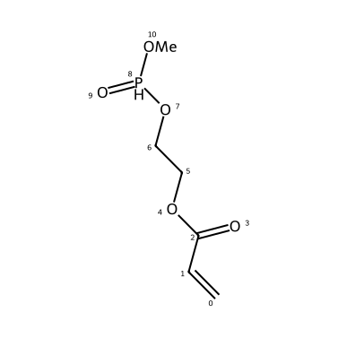 C=CC(=O)OCCO[PH](=O)OC